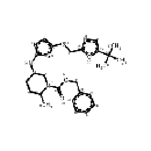 C[C@H]1CC[C@@H](Nc2ncc(SCc3ncc(C(C)(C)C)o3)s2)CN1C(=O)OCc1ccccc1